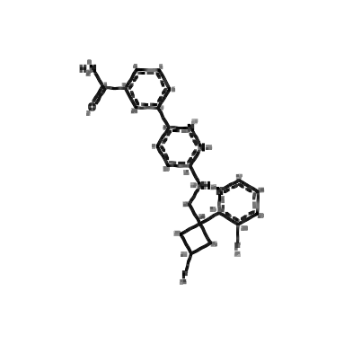 NC(=O)c1cccc(-c2ccc(NCC3(c4ncccc4F)CC(F)C3)nn2)c1